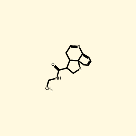 CCNC(=O)C1CSC23CC=CC=C2N=CCC13